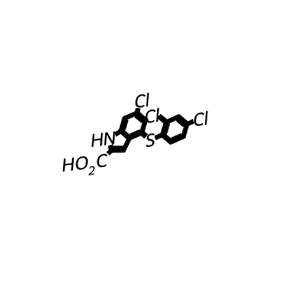 O=C(O)c1cc2c(Sc3ccc(Cl)cc3Cl)cc(Cl)cc2[nH]1